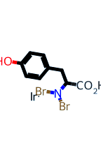 O=C(O)C(Cc1ccc(O)cc1)N(Br)Br.[Ir]